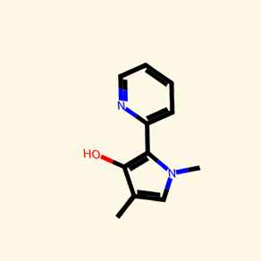 Cc1cn(C)c(-c2ccccn2)c1O